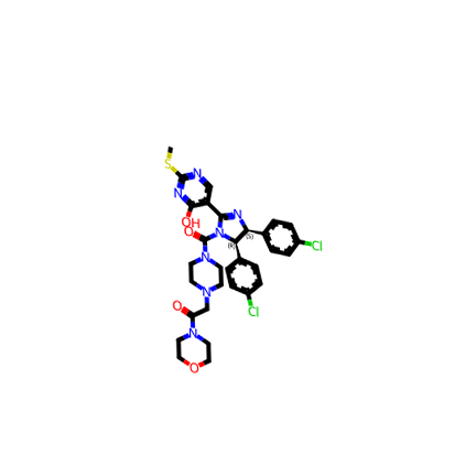 CSc1ncc(C2=N[C@@H](c3ccc(Cl)cc3)[C@@H](c3ccc(Cl)cc3)N2C(=O)N2CCN(CC(=O)N3CCOCC3)CC2)c(O)n1